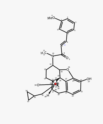 COc1cccc(/C=C/C(=O)N(C)C2CC[C@@]3(O)[C@H]4Cc5ccc(O)c6c5[C@@]3(CC[N+]4([O-])CC3CC3)C2O6)c1